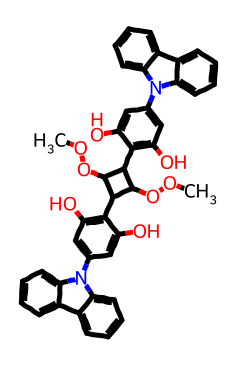 COOC1C(c2c(O)cc(-n3c4ccccc4c4ccccc43)cc2O)C(OOC)C1c1c(O)cc(-n2c3ccccc3c3ccccc32)cc1O